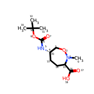 CN1OC[C@@H](NC(=O)OC(C)(C)C)CCC1C(=O)O